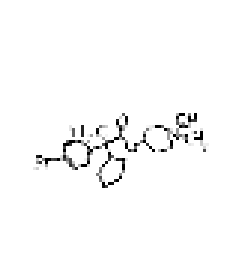 CC(C(=O)OC1CC[N+](C)(C)CC1)(c1ccc(Br)cc1)C1CCCC1